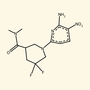 CN(C)C(=O)C1CN(c2ccc([N+](=O)[O-])c(N)n2)CC(F)(F)C1